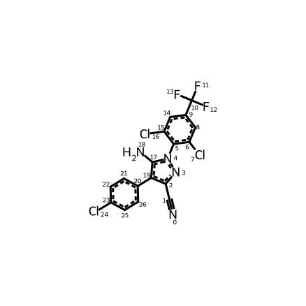 N#Cc1nn(-c2c(Cl)cc(C(F)(F)F)cc2Cl)c(N)c1-c1ccc(Cl)cc1